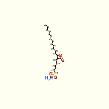 CCCCCCCCCCCCCC1OC(=O)/C1=C\CCCCCS(N)(=O)=O